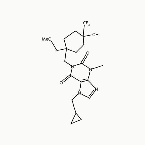 COCC1(Cn2c(=O)c3c(ncn3CC3CC3)n(C)c2=O)CCC(O)(C(F)(F)F)CC1